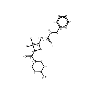 CCC1CCN(C(=O)[C@@H]2C[C@H](NC(=O)OCc3ccccc3)C2(C)C)CC1